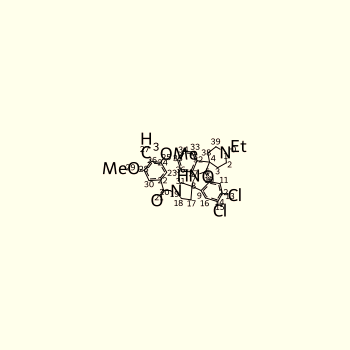 CCN1CCC(C(=O)NC2(c3ccc(Cl)c(Cl)c3)CCN(C(=O)c3cc(OC)c(C)c(OC)c3)C2)(c2ccccc2)CC1